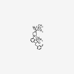 CC(C)(C)OC(=O)N1CCN(c2cccc3c2C(C)(C)C(=O)C3Cc2cccc(F)c2)CC1